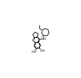 CCN1CCCC[C@@H](Nc2c3c(nc4cc(O)c(O)cc24)CCC3)C1